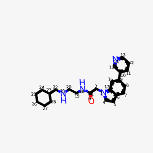 O=C(Cn1ccc2ccc(-c3cccnc3)cc21)NCCNCC1CCCCC1